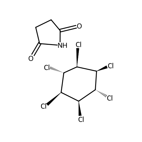 Cl[C@H]1[C@H](Cl)[C@@H](Cl)[C@@H](Cl)[C@H](Cl)[C@H]1Cl.O=C1CCC(=O)N1